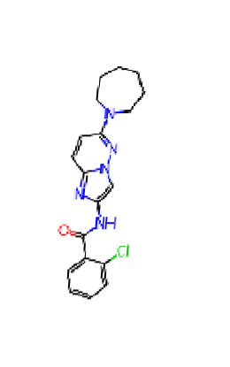 O=C(Nc1cn2nc(N3CCCCCC3)ccc2n1)c1ccccc1Cl